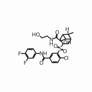 C[C@H]1C2CC(S(=O)(=O)c3cc(C(=O)Nc4ccc(F)c(F)c4)ccc3Cl)CC1[C@@]2(O)CC(=O)NCCO